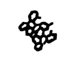 Cc1cc2c3c(c1)B1c4c(C)cccc4C45CCC(CC4)c4cc6c7cc8c(c(c7n-3c6c1c45)B2c1c(C)cccc1C)C1CCC8CC1